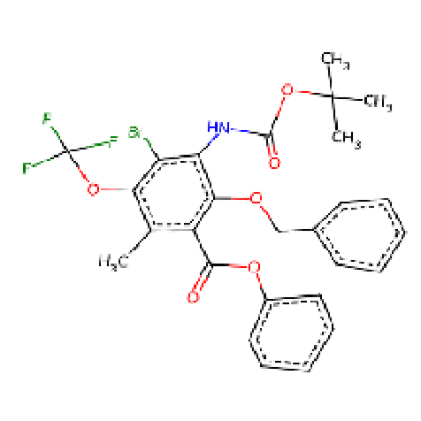 Cc1c(OC(F)(F)F)c(Br)c(NC(=O)OC(C)(C)C)c(OCc2ccccc2)c1C(=O)Oc1ccccc1